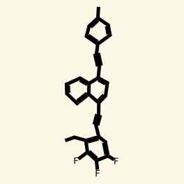 CCc1c(C#Cc2ccc(C#Cc3ccc(C)cc3)c3ccccc23)cc(F)c(F)c1F